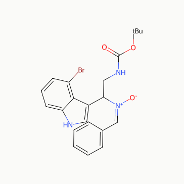 CC(C)(C)OC(=O)NCC(c1c[nH]c2cccc(Br)c12)/[N+]([O-])=C\c1ccccc1